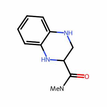 CNC(=O)C1CNc2ccccc2N1